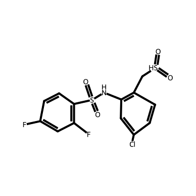 O=[SH](=O)Cc1ccc(Cl)cc1NS(=O)(=O)c1ccc(F)cc1F